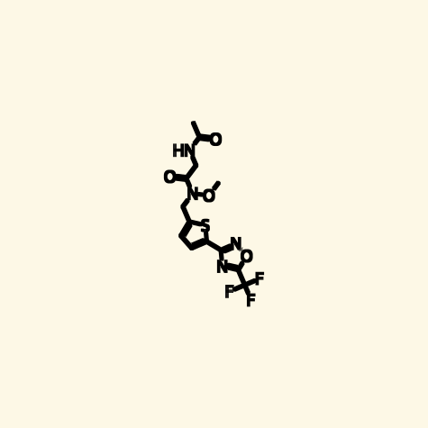 CON(Cc1ccc(-c2noc(C(F)(F)F)n2)s1)C(=O)CNC(C)=O